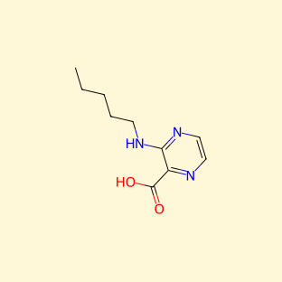 CCCCCNc1nccnc1C(=O)O